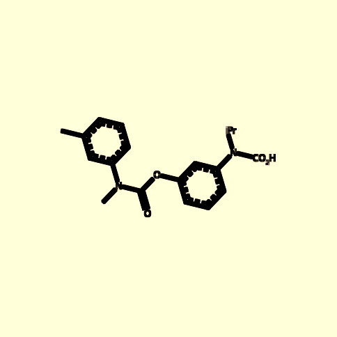 Cc1cccc(N(C)C(=O)Oc2cccc(N(C(=O)O)C(C)C)c2)c1